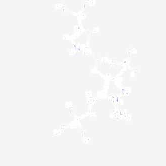 Cn1nc(C(F)(F)F)c(CSc2ncc(C(F)F)s2)c1OCC(F)(F)F